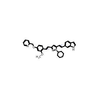 COc1cc(OCc2ccccn2)ccc1/C=C/c1cc(/C=C/c2ccc3cc[nH]c3c2)n(C2CCCCC2)n1